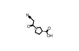 N#CCC(=O)N1CC[C@H](C(=O)O)C1